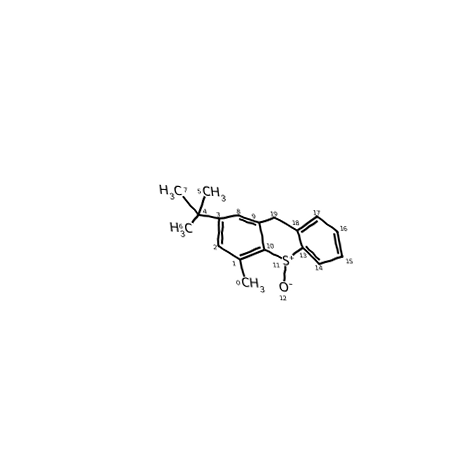 Cc1cc(C(C)(C)C)cc2c1[S+]([O-])c1ccccc1C2